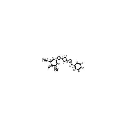 N#Cc1cc(O[C@H]2C[C@H](OCc3ccccc3)C2)cc(Br)c1F